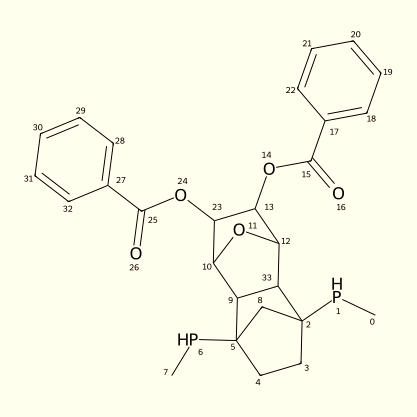 CPC12CCC(PC)(C1)C1C3OC(C(OC(=O)c4ccccc4)C3OC(=O)c3ccccc3)C12